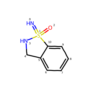 N=S1(=O)NCc2ccccc21